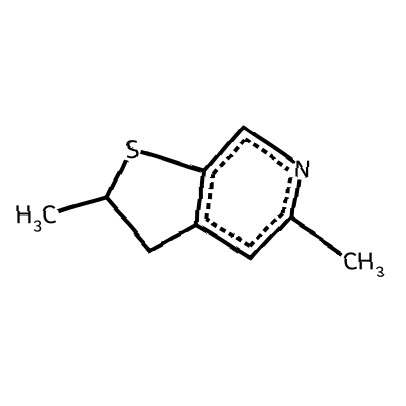 Cc1cc2c(cn1)SC(C)C2